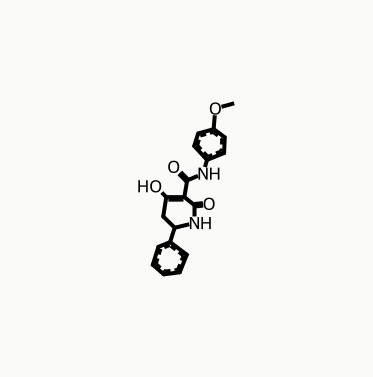 COc1ccc(NC(=O)C2=C(O)CC(c3ccccc3)NC2=O)cc1